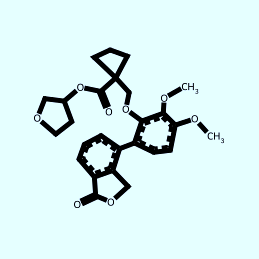 COc1ccc(-c2cccc3c2COC3=O)c(OCC2(C(=O)OC3CCOC3)CCC2)c1OC